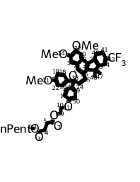 CCCCCOC(=O)CCC(=O)OCCOc1ccc(C2(c3ccc(OC)cc3)C=Cc3c4c(c5cc(OC)c(OC)cc5c3O2)-c2ccc(C(F)(F)F)cc2C4(C)C)cc1